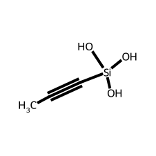 CC#C[Si](O)(O)O